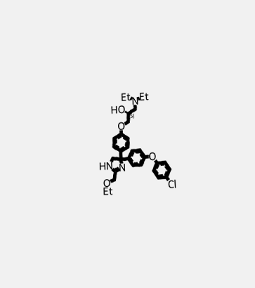 CCOCC1=NC(c2ccc(OC[C@@H](O)CN(CC)CC)cc2)(c2ccc(Oc3ccc(Cl)cc3)cc2)CN1